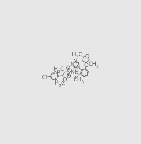 COc1cccc(OC)c1-n1c(NS(=O)(=O)[C@@H](C)[C@H](OC)c2ncc(Cl)cn2)nnc1[C@H]1CCO[C@H]1C